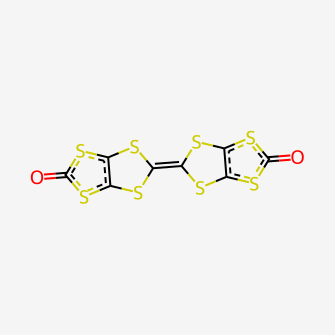 O=c1sc2c(s1)SC(=C1Sc3sc(=O)sc3S1)S2